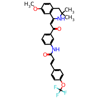 COc1ccc2c(c1)C(=CC(=O)c1cccc(NC(=O)C=Cc3ccc(OC(F)(F)F)cc3)c1)NC(C)(C)C2